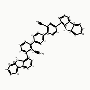 N#Cc1cc(-c2cccc3c2sc2ccccc23)ccc1-c1ccc(-c2cccc(-c3cccc4c3sc3ccccc34)c2C#N)cc1